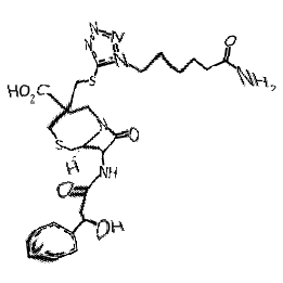 NC(=O)CCCCCn1nnnc1SCC1(C(=O)O)CS[C@@H]2C(NC(=O)C(O)c3ccccc3)C(=O)N2C1